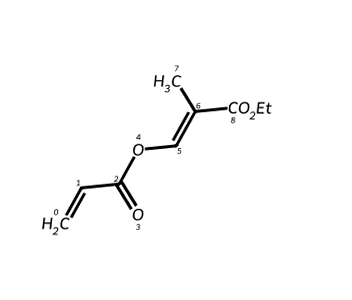 C=CC(=O)OC=C(C)C(=O)OCC